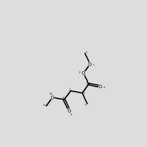 COOC(=O)C(C)CC(=O)OC